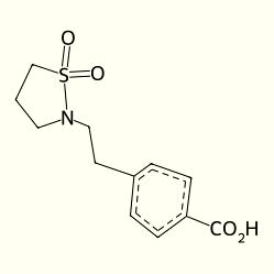 O=C(O)c1ccc(CCN2CCCS2(=O)=O)cc1